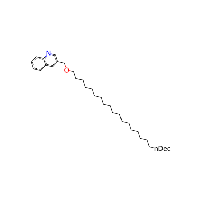 CCCCCCCCCCCCCCCCCCCCCCCCCCCCOCc1cnc2ccccc2c1